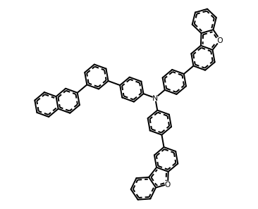 c1cc(-c2ccc(N(c3ccc(-c4ccc5oc6ccccc6c5c4)cc3)c3ccc(-c4ccc5oc6ccccc6c5c4)cc3)cc2)cc(-c2ccc3ccccc3c2)c1